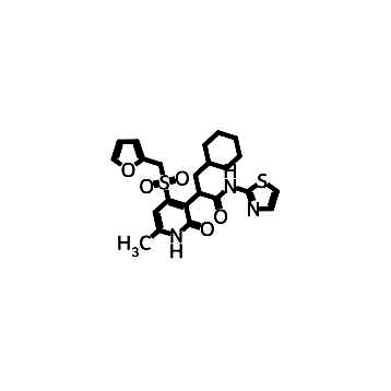 Cc1cc(S(=O)(=O)Cc2ccco2)c(C(CC2CCCCC2)C(=O)Nc2nccs2)c(=O)[nH]1